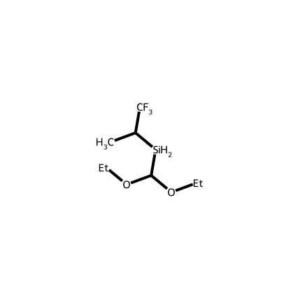 CCOC(OCC)[SiH2]C(C)C(F)(F)F